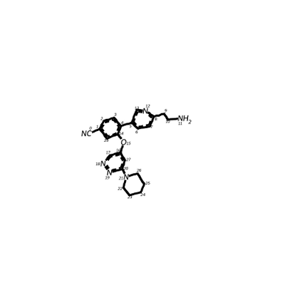 N#Cc1ccc(-c2ccc(CCN)nc2)c(Oc2cnnc(N3CCCCC3)c2)c1